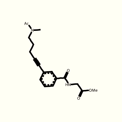 COC(=O)CNC(=O)c1cccc(C#CCCCN(C)C(C)=O)c1